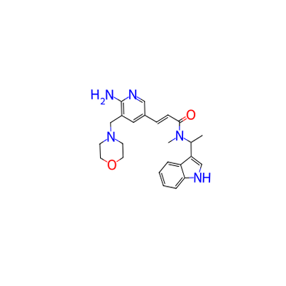 CC(c1c[nH]c2ccccc12)N(C)C(=O)/C=C/c1cnc(N)c(CN2CCOCC2)c1